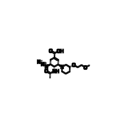 COCCO[C@@H]1CCCN([C@@H]2C=C(C(=O)O)C[C@H](N=[N+]=[N-])[C@H]2NC(C)=O)C1